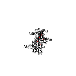 CONc1nc(C(c2ccccc2)(c2ccccc2)c2ccccc2)nc2c1ncn2C(CCOCP(=O)(O)OC(C(=O)OC(C)(C)C)C(=O)OC(C)(C)C)C(C)OC(c1ccccc1)(c1ccccc1)c1ccccc1OC